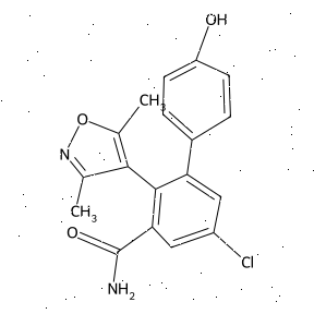 Cc1noc(C)c1-c1c(C(N)=O)cc(Cl)cc1-c1ccc(O)cc1